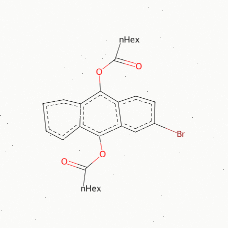 CCCCCCC(=O)Oc1c2ccccc2c(OC(=O)CCCCCC)c2cc(Br)ccc12